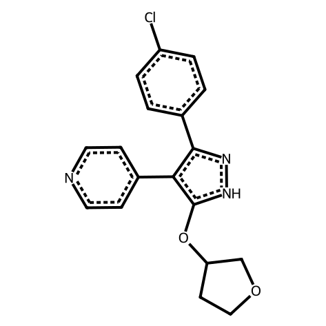 Clc1ccc(-c2n[nH]c(OC3CCOC3)c2-c2ccncc2)cc1